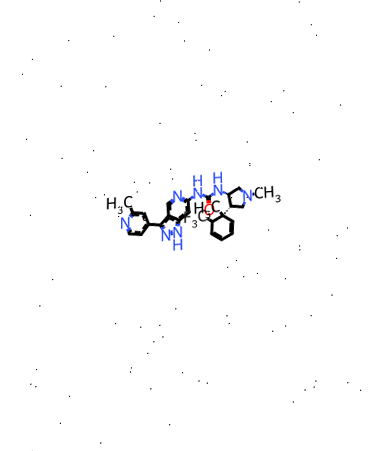 Cc1cc(-c2n[nH]c3cc(NC(=O)N[C@H]4CN(C)C[C@@H]4C4(C)C=CC=CC4C(F)(F)F)ncc23)ccn1